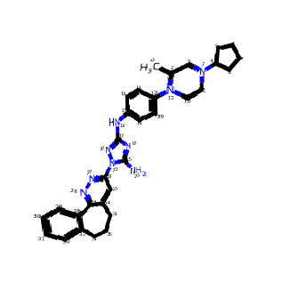 CC1CN(C2CCCC2)CCN1c1ccc(Nc2nc(N)n(-c3cc4c(nn3)-c3ccccc3CCC4)n2)cc1